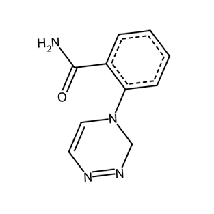 NC(=O)c1ccccc1N1C=CN=NC1